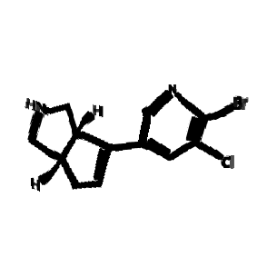 Clc1cc(C2=CC[C@@H]3CNC[C@H]23)cnc1Br